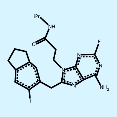 CC(C)NC(=O)CCn1c(Cc2cc3c(cc2I)CCC3)nc2c(N)nc(F)nc21